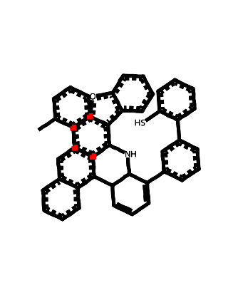 Cc1ccccc1-c1cc(C2C=CC=C(c3cccc(-c4ccccc4S)c3)C2Nc2cccc3oc4ccccc4c23)c2ccccc2c1